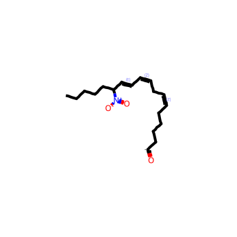 CCCCCC(/C=C/C=C\C/C=C\CCCC[C]=O)[N+](=O)[O-]